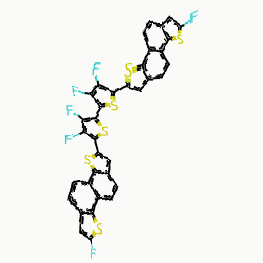 Fc1cc2ccc3c(ccc4cc(-c5sc(-c6sc(-c7cc8ccc9c(ccc%10cc(F)sc%109)c8s7)c(F)c6F)c(F)c5F)sc43)c2s1